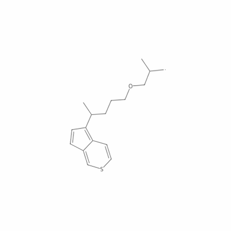 [CH2]C(C)COCCCC(C)c1ccc2csccc1-2